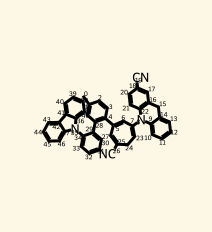 Cc1ccc(C2=CC(N3c4ccccc4Cc4cc(C#N)ccc43)=CCC(C#N)=C2)c(-c2ccccc2-n2c3ccccc3c3ccccc32)c1